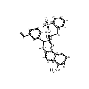 C=Cc1cccc(C(Nc2ccc3c(N)nccc3c2)C(=O)NCc2ccccc2S(C)(=O)=O)c1